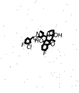 O=C(O)c1coc2c1c(C(c1ccnc(OCc3ccc(F)c(Cl)c3)c1)N1CCCCC1)c(O)c1ccc(F)cc12